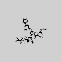 C=C[C@@H]1C[C@]1(NC(=O)[C@@H]1C[C@@H](Oc2cc(-c3cccs3)ncn2)CN1C(=O)[C@@H](NC(=O)OC(C)(C)C)C(C)(C)C)C(=O)NS(=O)(=O)C1CC1